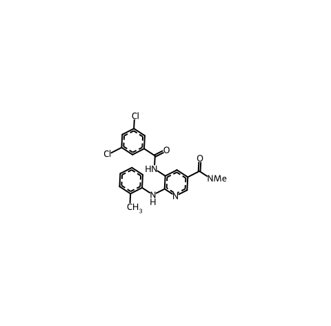 CNC(=O)c1cnc(Nc2ccccc2C)c(NC(=O)c2cc(Cl)cc(Cl)c2)c1